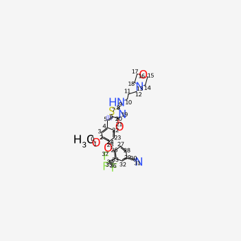 COc1cc(/C=C2/SC(NCCCN3CCOCC3)=NC2=O)ccc1Oc1ccc(C#N)cc1C(F)(F)F